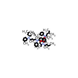 C=C(/C=C\C(=C/C)N(/C(C)=C/C=C(\C)N(/C(C=C(C)C)=C/C)c1cccc(C)c1)c1ccccc1)C(=C)/C=C\C(=C/C)N(/C(C)=C/C=C\C)c1ccc(N(/C(C)=C/C(C)=C\C)c2cccc(C)c2)cc1